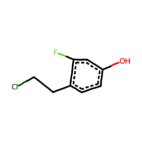 Oc1ccc(CCCl)c(F)c1